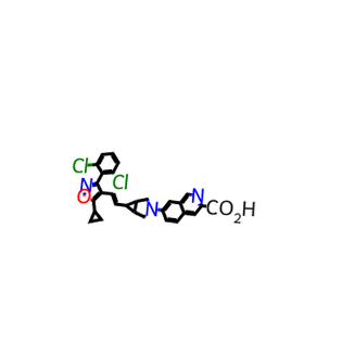 O=C(O)c1cc2ccc(N3CC4C(C=Cc5c(-c6c(Cl)cccc6Cl)noc5C5CC5)C4C3)cc2cn1